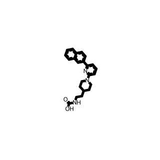 O=C(O)NCCC1CCN(c2cccc(-c3ccc4ccccc4c3)n2)CC1